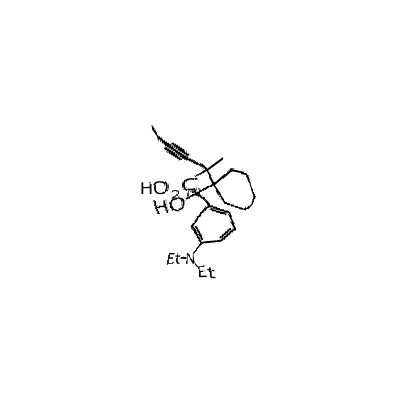 CC#CC(C)(C)C1([C@](O)(C(=O)O)c2cccc(N(CC)CC)c2)CCCCC1